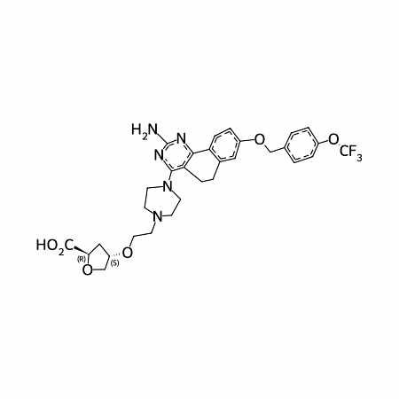 Nc1nc2c(c(N3CCN(CCO[C@@H]4CO[C@@H](C(=O)O)C4)CC3)n1)CCc1cc(OCc3ccc(OC(F)(F)F)cc3)ccc1-2